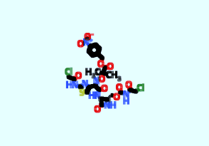 CC(C)(O/N=C(\C(=O)N[C@H]1C(=O)N[C@H]1COC(=O)NC(=O)CCl)c1csc(NC(=O)CCl)n1)C(=O)OCc1ccc([N+](=O)[O-])cc1